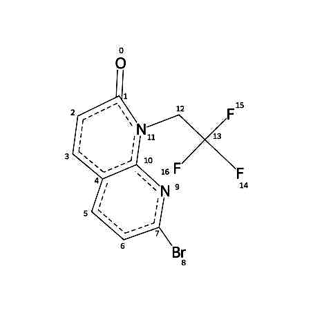 O=c1ccc2ccc(Br)nc2n1CC(F)(F)F